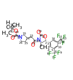 C[C@H]1[C@@H](c2cc(C(F)(F)F)cc(C(F)(F)F)c2)OC(=O)N1C(=O)C[C@H]1CCN(C(=O)OC(C)(C)C)C1